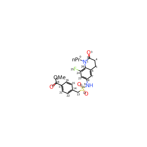 CCCN1C(=O)CCc2cc(NS(=O)(=O)Cc3ccc(C(=O)OC)cc3)cc(F)c21